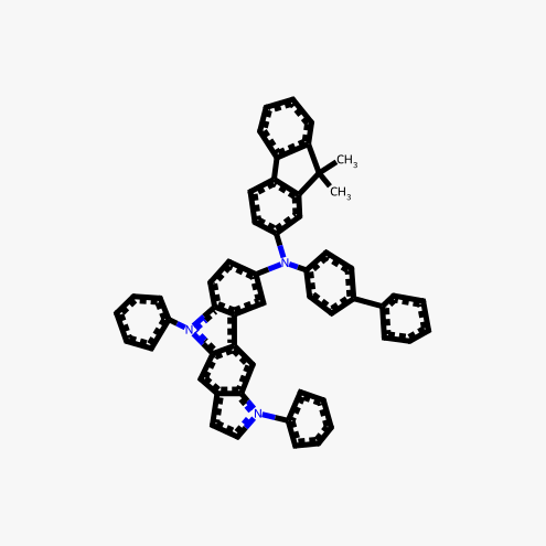 CC1(C)c2ccccc2-c2ccc(N(c3ccc(-c4ccccc4)cc3)c3ccc4c(c3)c3cc5c(ccn5-c5ccccc5)cc3n4-c3ccccc3)cc21